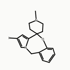 CN1CCC2(CC1)Oc1ccccc1Cn1cc(I)cc12